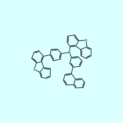 c1cc(-c2cccc3ccccc23)cc(N(c2ccc(-c3cccc4sc5ccccc5c34)cc2)c2cccc3oc4ccccc4c23)c1